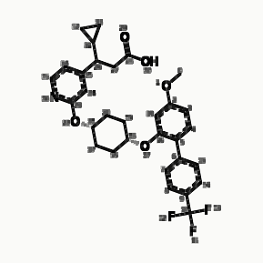 COc1ccc(-c2ccc(C(F)(F)F)cc2)c(O[C@H]2CC[C@@H](Oc3cc(C(CC(=O)O)C4CC4)ccn3)CC2)c1